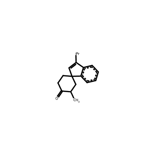 CC(C)C1=CC2(CCC(=O)C(C)C2)c2ccccc21